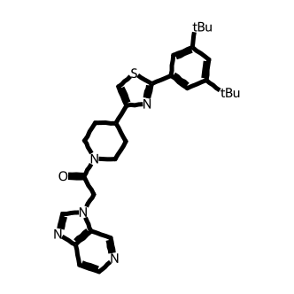 CC(C)(C)c1cc(-c2nc(C3CCN(C(=O)Cn4cnc5ccncc54)CC3)cs2)cc(C(C)(C)C)c1